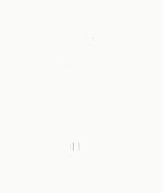 CCC(C(C)=O)C(C)O